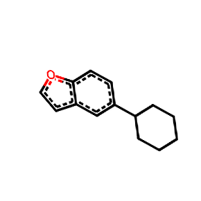 c1cc2cc(C3CCCCC3)ccc2o1